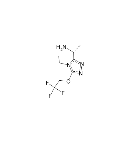 CCn1c(OCC(F)(F)F)nnc1[C@@H](C)N